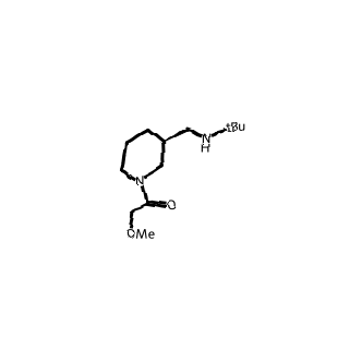 COCC(=O)N1CCC[C@@H](CNC(C)(C)C)C1